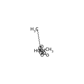 CCCCCCCCCCCCCCCC(=O)OCC(O)C1OC(=O)C(OCc2ccccc2)=C1NCCC